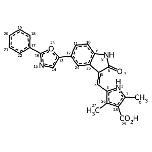 Cc1[nH]c(/C=C2\C(=O)Nc3ccc(-c4cnc(-c5ccccc5)o4)cc32)c(C)c1C(=O)O